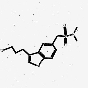 CN(C)S(=O)(=O)Cc1ccc2[nH]cc(CCCO)c2c1